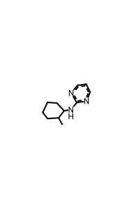 CC1CCCCC1Nc1ncccn1